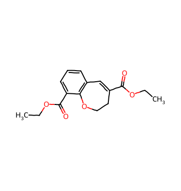 CCOC(=O)C1=Cc2cccc(C(=O)OCC)c2OCC1